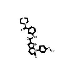 CC(C)Oc1ccc(-n2c(=O)ccc3cc(C(=O)Nc4cccc(C(=O)N5CCOCC5)c4)[nH]c32)cc1